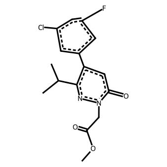 COC(=O)Cn1nc(C(C)C)c(-c2cc(F)cc(Cl)c2)cc1=O